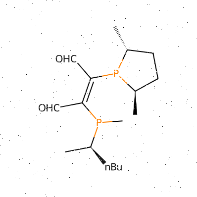 CCCC[C@@H](C)P(C)/C(C=O)=C(/C=O)P1[C@H](C)CC[C@H]1C